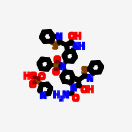 NC(=O)n1c(O)c(-c2nc3ccccc3s2)c2cc(N(c3ccc4[nH]c(O)c(-c5nc6ccccc6s5)c4c3)S(=O)(=O)c3ccccc3)ccc21.O=S(=O)(O)c1cccnc1